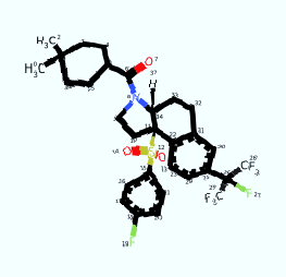 CC1(C)CCC(C(=O)N2CC[C@@]3(S(=O)(=O)c4ccc(F)cc4)c4ccc(C(F)(C(F)(F)F)C(F)(F)F)cc4CC[C@@H]23)CC1